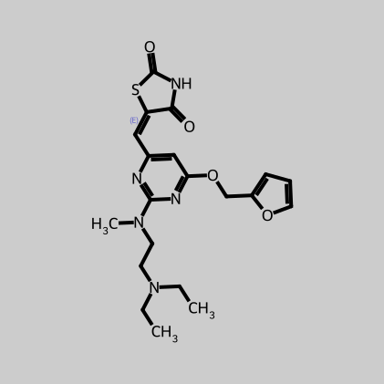 CCN(CC)CCN(C)c1nc(/C=C2/SC(=O)NC2=O)cc(OCc2ccco2)n1